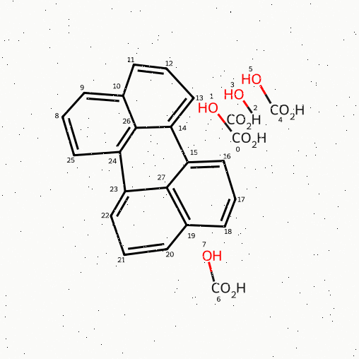 O=C(O)O.O=C(O)O.O=C(O)O.O=C(O)O.c1cc2cccc3c4cccc5cccc(c(c1)c23)c54